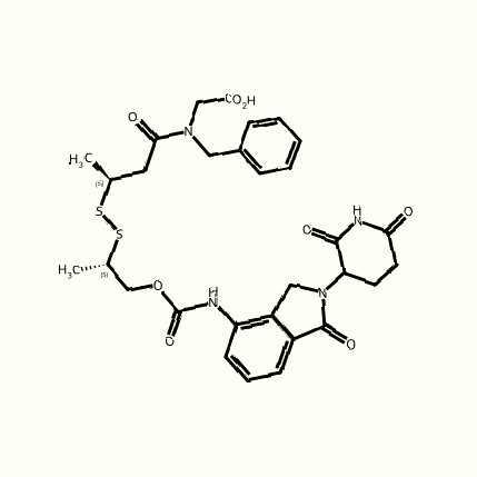 C[C@@H](COC(=O)Nc1cccc2c1CN(C1CCC(=O)NC1=O)C2=O)SS[C@@H](C)CC(=O)N(CC(=O)O)Cc1ccccc1